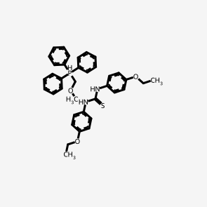 CCOc1ccc(NC(=S)Nc2ccc(OCC)cc2)cc1.COC[PH](c1ccccc1)(c1ccccc1)c1ccccc1